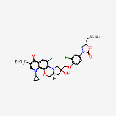 CCOC(=O)c1cn(C2CC2)c2c3c(c(F)cc2c1=O)N1C[C@](O)(COc2ccc(N4C[C@H](CNC(C)=O)OC4=O)cc2F)C[C@H]1CO3